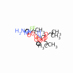 CC(C)CCOC(=O)C[C@H](NP(=O)(OC[C@H]1O[C@@H](n2ccc(N)nc2=O)C(F)(F)C1C)Oc1ccccc1)C(=O)OCCC(C)C